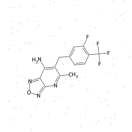 Cc1nc2nonc2c(N)c1Cc1ccc(C(F)(F)F)c(F)c1